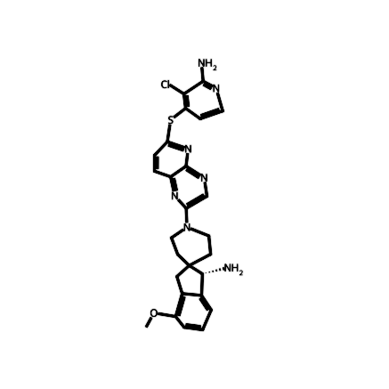 COc1cccc2c1CC1(CCN(c3cnc4nc(Sc5ccnc(N)c5Cl)ccc4n3)CC1)[C@@H]2N